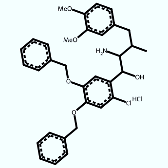 COc1ccc(CC(C)C(N)C(O)c2cc(OCc3ccccc3)c(OCc3ccccc3)cc2Cl)cc1OC.Cl